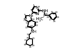 C[C@H](Nc1nccc(-n2cnc3cc(NCC4CCCCC4)ccc32)n1)c1ccccc1